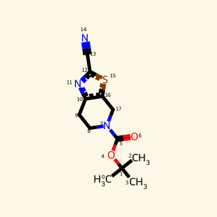 CC(C)(C)OC(=O)N1CCc2nc(C#N)sc2C1